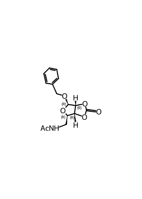 CC(=O)NC[C@H]1O[C@@H](OCc2ccccc2)[C@@H]2OC(=O)O[C@@H]21